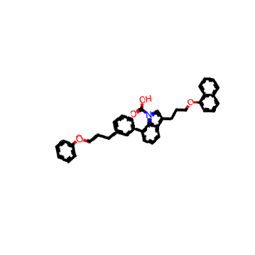 O=C(O)n1cc(CCCOc2cccc3ccccc23)c2cccc(-c3cccc(CCCOc4ccccc4)c3)c21